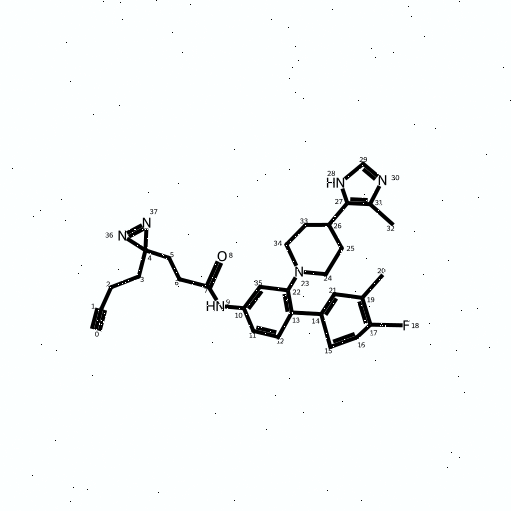 C#CCCC1(CCC(=O)Nc2ccc(-c3ccc(F)c(C)c3)c(N3CCC(c4[nH]cnc4C)CC3)c2)N=N1